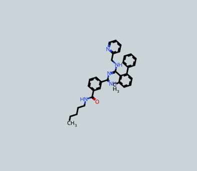 CCCCCNC(=O)c1cccc(C(=N)/N=C(/NCc2ccccn2)c2c(C)cccc2-c2ccccc2)c1